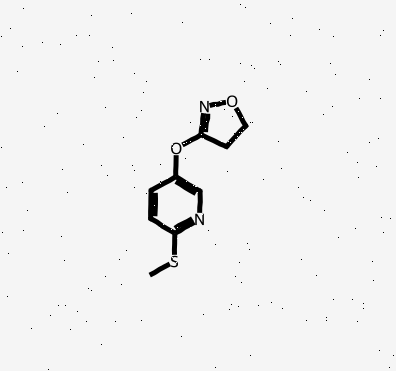 CSc1ccc(OC2=NOCC2)cn1